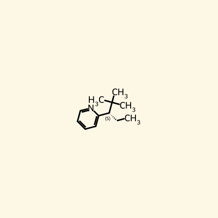 CC[C@H](c1ccccn1)C(C)(C)C